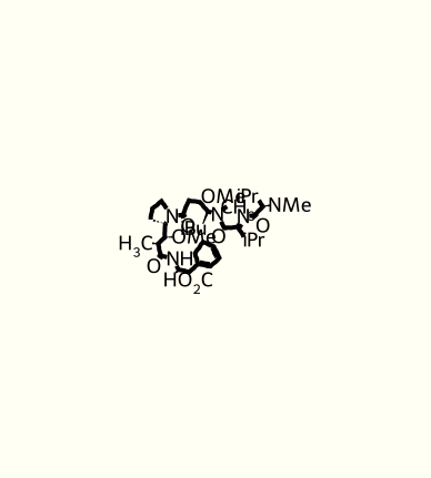 CC[C@H](C)C([C@@H](CC(=O)N1CCC[C@H]1[C@H](OC)[C@@H](C)C(=O)N[C@H](CC1=CC=CCC1)C(=O)O)OC)N(C)C(=O)/C(=N/C(=O)[C@@H](NC)C(C)C)C(C)C